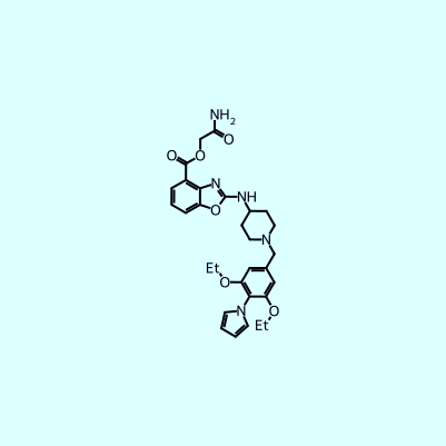 CCOc1cc(CN2CCC(Nc3nc4c(C(=O)OCC(N)=O)cccc4o3)CC2)cc(OCC)c1-n1cccc1